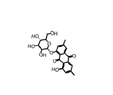 Cc1cc(O)c2c(c1)C(=O)c1cc(C)cc(O[C@@H]3OC(CO)[C@@H](O)[C@H](O)C3O)c1C2=O